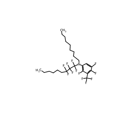 CCCCCCCCCN(c1cc(F)c(F)c(C(F)(F)F)c1F)C(F)(F)C(F)(F)C(F)(F)CCCCCC